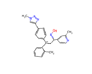 Cc1cc(C(C[C@H](c2ccc(-c3cn(C)nn3)cc2)c2ccccc2C)=NO)ccn1